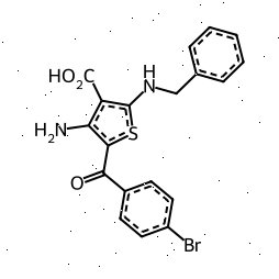 Nc1c(C(=O)c2ccc(Br)cc2)sc(NCc2ccccc2)c1C(=O)O